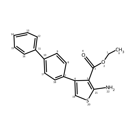 CCOC(=O)c1c(-c2ccc(-c3ccccc3)cc2)csc1N